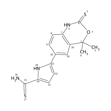 CC1(C)OC(=S)Nc2ccc(-c3ccc(C(N)=S)[nH]3)cc21